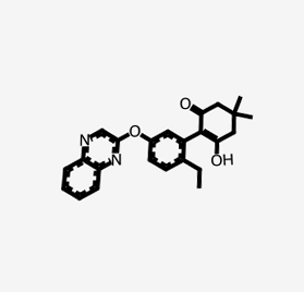 CCc1ccc(Oc2cnc3ccccc3n2)cc1C1=C(O)CC(C)(C)CC1=O